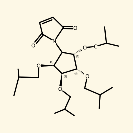 CC(C)CO[C@@H]1[C@@H](OCC(C)C)[C@@H](OCC(C)C)C(N2C(=O)C=CC2=O)[C@@H]1OCC(C)C